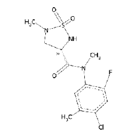 Cc1cc(N(C)C(=O)[C@@H]2CN(C)S(=O)(=O)N2)c(F)cc1Cl